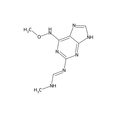 CN/C=N/c1nc(NOC)c2nc[nH]c2n1